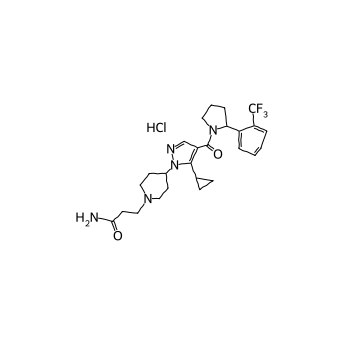 Cl.NC(=O)CCN1CCC(n2ncc(C(=O)N3CCCC3c3ccccc3C(F)(F)F)c2C2CC2)CC1